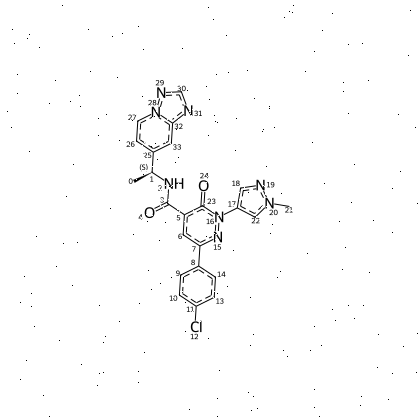 C[C@H](NC(=O)c1cc(-c2ccc(Cl)cc2)nn(-c2cnn(C)c2)c1=O)c1ccn2ncnc2c1